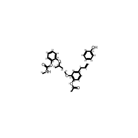 C=CCc1ccc(OC(C)=O)c(OC)c1.CNC(=O)Oc1ccccc1OC(C)C.Oc1ccccc1